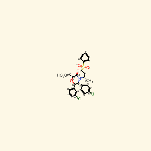 C[C@@H](CCS(=O)(=O)c1ccccc1)N1C(=O)[C@H](CC(=O)O)O[C@H](c2cccc(Cl)c2)[C@H]1c1ccc(Cl)cc1